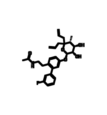 C=CCC1(CC=C)O[C@H](Oc2ccc(CCNC(C)=O)c(-c3cccc(F)c3)c2)[C@H](O)[C@H](O)[C@H]1C